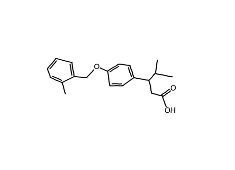 Cc1ccccc1COc1ccc(C(CC(=O)O)C(C)C)cc1